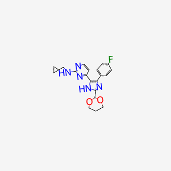 Fc1ccc(-c2nc(C3OCCCO3)[nH]c2-c2ccnc(NCC3CC3)n2)cc1